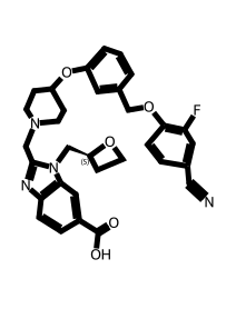 N#Cc1ccc(OCc2cccc(OC3CCN(Cc4nc5ccc(C(=O)O)cc5n4C[C@@H]4CCO4)CC3)c2)c(F)c1